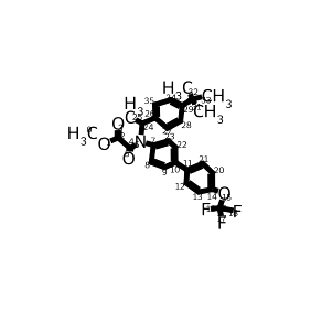 COC(=O)C(=O)N(c1ccc(-c2ccc(OC(F)(F)F)cc2)cc1)C(C)c1ccc(C(C)(C)C)cc1